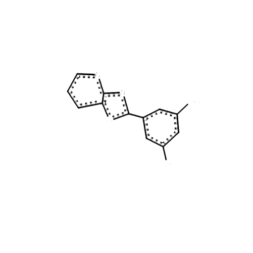 CC(C)(C)c1cc(-c2nc3ncccc3o2)cc(C(C)(C)C)c1